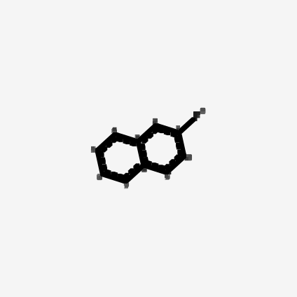 Fc1[c]c2ccccc2[c]c1